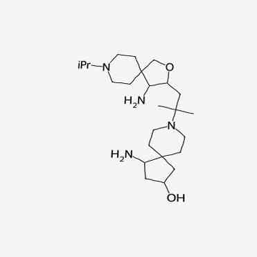 CC(C)N1CCC2(CC1)COC(CC(C)(C)N1CCC3(CC1)CC(O)CC3N)C2N